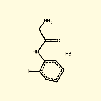 Br.NCC(=O)Nc1ccccc1I